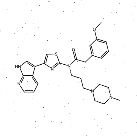 COc1cccc(CC(=O)N(CCCN2CCN(C)CC2)c2nc(-c3c[nH]c4ncccc34)cs2)c1